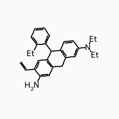 C=Cc1cc2c(cc1N)Cc1cc(N(CC)CC)ccc1C2c1ccccc1CC